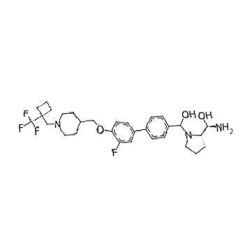 N[C@H](O)[C@@H]1CCCN1C(O)c1ccc(-c2ccc(OCC3CCN(CC4(C(F)(F)F)CCC4)CC3)c(F)c2)cc1